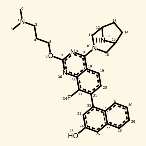 CN(C)CCCOc1nc(N2CC3CCC(C2)N3)c2ccc(-c3cc(O)cc4ccccc34)c(F)c2n1